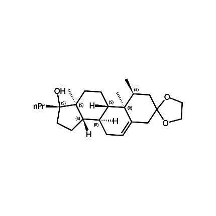 CCC[C@]1(O)CC[C@H]2[C@@H]3CC=C4CC5(C[C@H](C)[C@]4(C)[C@H]3CC[C@@]21C)OCCO5